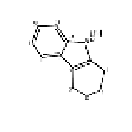 [CH]1C2=C(CCCC2)c2ccccc21.[LiH]